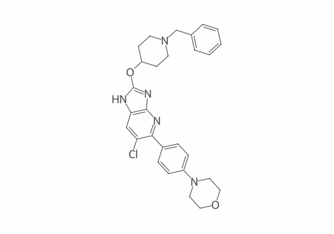 Clc1cc2[nH]c(OC3CCN(Cc4ccccc4)CC3)nc2nc1-c1ccc(N2CCOCC2)cc1